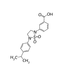 CC(C)c1ccc(N2CCN(c3cccc(C(=O)O)c3)S2(=O)=O)cc1